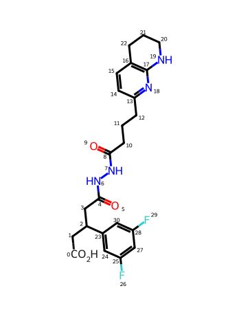 O=C(O)CC(CC(=O)NNC(=O)CCCc1ccc2c(n1)NCCC2)c1cc(F)cc(F)c1